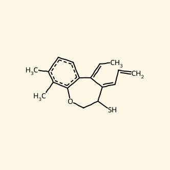 C=C/C=C1\C(=C/C)c2ccc(C)c(C)c2OCC1S